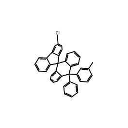 Cc1cccc(C2(c3ccccc3)c3ccccc3C3(c4ccccc4-c4cc(Cl)ccc43)c3ccccc32)c1